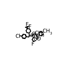 CN=[S@](=O)(c1ccc(C)cc1)N1CC(F)CC1C(=O)N(Cc1ccc(Cl)cc1)C1CCC2(CC1)CC2(F)F